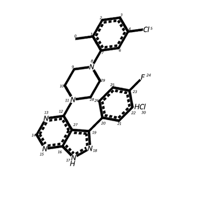 Cc1ccc(Cl)cc1N1CCN(c2ncnc3[nH]nc(-c4ccc(F)cc4)c23)CC1.Cl